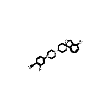 N#Cc1ccc(N2CCN([C@H]3CC[C@@]4(CC3)OCc3c(Br)cccc34)CC2)cc1F